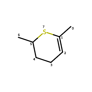 CC1=CCCC(C)S1